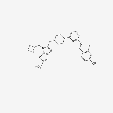 N#Cc1ccc(COc2cccc(C3CCN(Cc4nc5cc(C(=O)O)oc5n4CC4CCO4)CC3)n2)c(F)c1